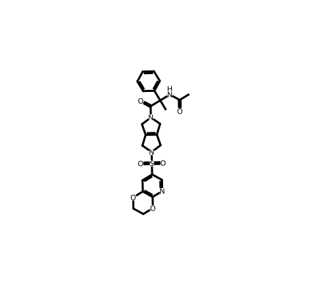 CC(=O)NC(C)(C(=O)N1CC2=C(C1)CN(S(=O)(=O)c1cnc3c(c1)OCCO3)C2)c1ccccc1